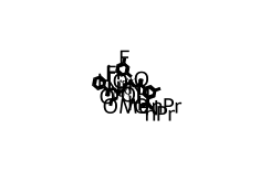 CCCN(CCC)C(=O)c1cc(C)cc(C(=O)N[C@@H](Cc2cc(F)cc(F)c2)[C@@H](O)[C@H](O)[C@@H](CCOC)NC(=O)c2ccccc2)c1